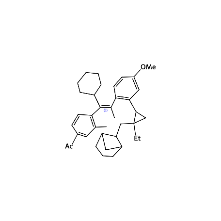 CCC1(CC2C3CCCC2C3)CC1c1cc(OC)ccc1/C(C)=C(/c1ccc(C(C)=O)cc1C)C1CCCCC1